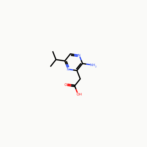 CC(C)c1cnc(N)c(CC(=O)O)n1